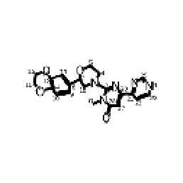 Cn1c(N2CCOC(c3ccc4c(c3)OCCO4)C2)nc(-c2ccncn2)cc1=O